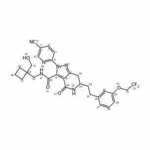 N#Cc1ccc(-n2nc3c(c2C(=O)NCC2(CO)CCC2)C(=O)NC(CCc2cccc(OCC(F)(F)F)c2)C3)nc1